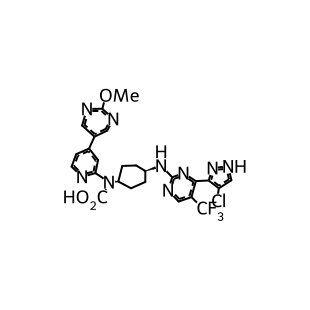 COc1ncc(-c2ccnc(N(C(=O)O)[C@H]3CC[C@H](Nc4ncc(C(F)(F)F)c(-c5n[nH]cc5Cl)n4)CC3)c2)cn1